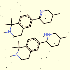 CC1CCC(c2ccc3c(c2)CCN(C)C3(C)C)=NC1.CC1CCC(c2ccc3c(c2)CCN(C)C3(C)C)NC1